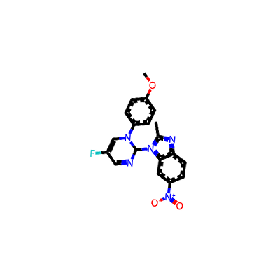 COc1ccc(N2C=C(F)C=NC2n2c(C)nc3ccc([N+](=O)[O-])cc32)cc1